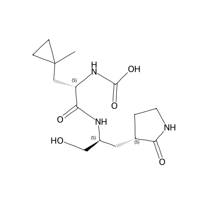 CC1(C[C@H](NC(=O)O)C(=O)N[C@H](CO)C[C@@H]2CCNC2=O)CC1